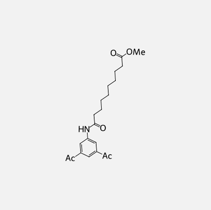 COC(=O)CCCCCCCCC(=O)Nc1cc(C(C)=O)cc(C(C)=O)c1